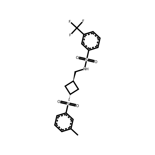 Cc1cccc(S(=O)(=O)[C@H]2C[C@H](CNS(=O)(=O)c3cccc(C(F)(F)F)c3)C2)c1